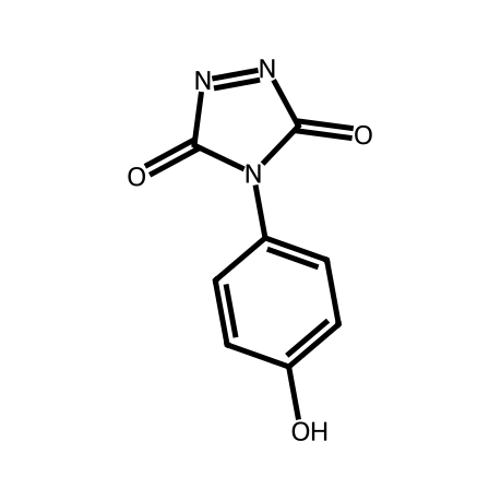 O=C1N=NC(=O)N1c1ccc(O)cc1